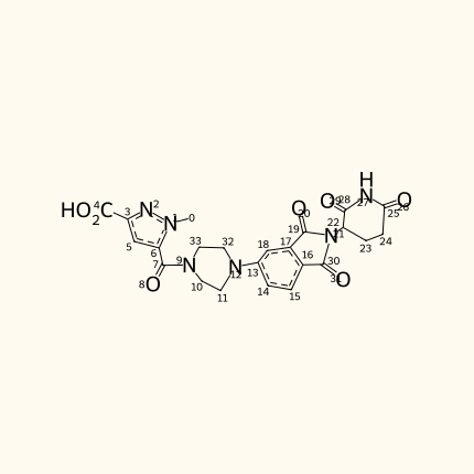 Cn1nc(C(=O)O)cc1C(=O)N1CCN(c2ccc3c(c2)C(=O)N(C2CCC(=O)NC2=O)C3=O)CC1